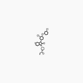 C=CC(=O)N1CC[C@@H](n2c(=O)n(-c3ccc(Oc4cccc(Cl)c4)c(Cl)c3)c3cnccc32)C1